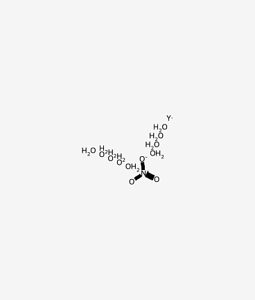 O.O.O.O.O.O.O.O.O.O=[N+]([O-])[O-].[Y]